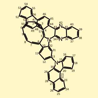 c1ccccc2c(ccc1)c1ccc(-n3c4ccccc4c4c5ccccc5ccc43)cc1n2-c1nc2ccccc2nc1-c1ccc2c(ccc3ccccc32)c1